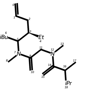 C=CC[C@@H](CC)C(C(C)CC)N(C)C(=C)CN(C)C(=C)C(C)C(C)C